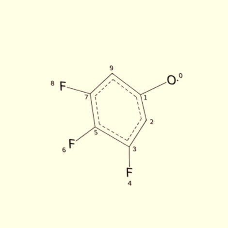 [O]c1cc(F)c(F)c(F)c1